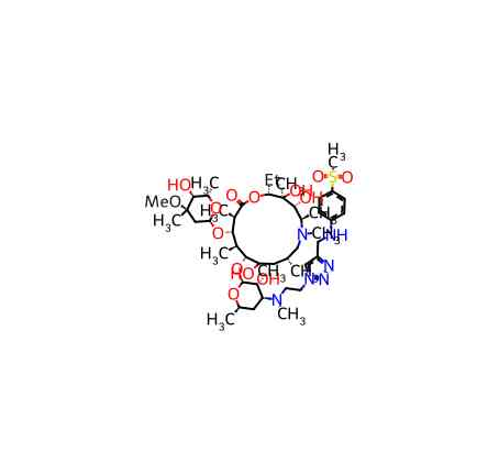 CC[C@H]1OC(=O)[C@H](C)[C@@H](O[C@H]2C[C@@](C)(OC)[C@@H](O)[C@H](C)O2)[C@H](C)[C@@H](O[C@@H]2O[C@H](C)C[C@H](N(C)CCn3cc(CNc4ccc(S(C)(=O)=O)cc4)nn3)[C@H]2O)[C@](C)(O)C[C@@H](C)CN(C)[C@H](C)[C@@H](O)[C@]1(C)O